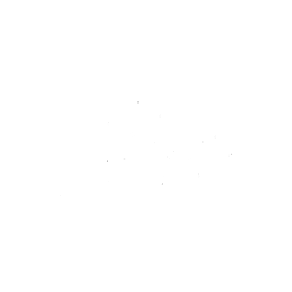 CCCCc1ccc(OCC)c(OC(=O)c2ccccc2)c1